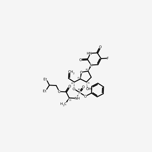 C=C[C@@H](O[P@](=O)(N[C@@H](C)C(=O)OCC(CC)CC)Oc1ccccc1)[C@H]1O[C@@H](n2cc(F)c(=O)[nH]c2=O)C[C@@H]1O